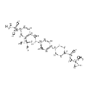 CC1(OC(=O)N2CCC(c3ccc(COc4ccc(S(C)(=O)=O)cc4C(F)(F)F)nc3)CC2)CC1